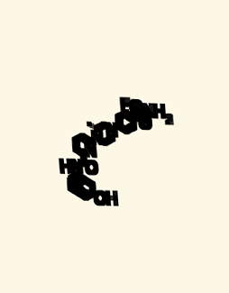 C[C@@H]1CN(c2ccc(S(N)(=O)=O)c(F)c2)CCN1c1cccc(C(=O)NC2C3CC4CC2CC(O)(C4)C3)n1